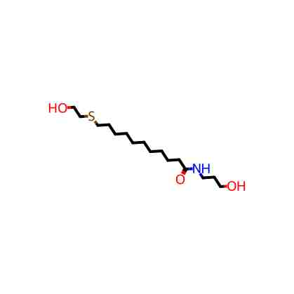 O=C(CCCCCCCCCCSCCO)NCCCO